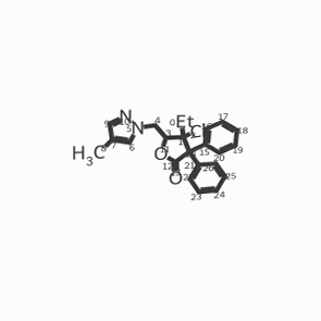 CCC1(Cl)C(Cn2cc(C)cn2)OC(=O)C1(c1ccccc1)c1ccccc1